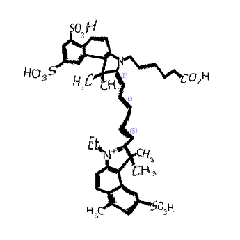 CC[N+]1=C(/C=C/C=C/C=C2/N(CCCCCC(=O)O)c3ccc4c(S(=O)(=O)O)cc(S(=O)(=O)O)cc4c3C2(C)C)C(C)(C)c2c1ccc1c(C)cc(S(=O)(=O)O)cc21